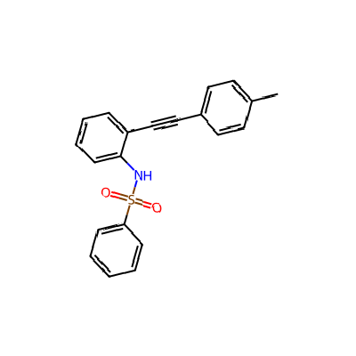 Cc1ccc(C#Cc2ccccc2NS(=O)(=O)c2ccccc2)cc1